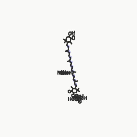 CC1=C(/C=C/C(C)=C/C=C/C(C)=C/C=C/C=C(C)/C=C/C=C(C)/C=C/C2=C(C)C(=O)C(OP(=O)(O)OP(=O)(O)O)CC2(C)C)C(C)(C)CC(O)C1=O.[NaH].[NaH].[NaH].[NaH]